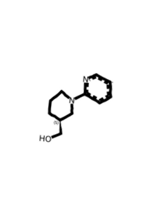 OC[C@H]1CCCN(c2cc[c]cn2)C1